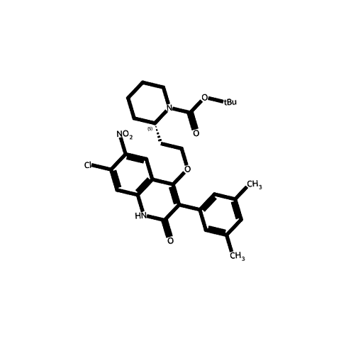 Cc1cc(C)cc(-c2c(OCC[C@@H]3CCCCN3C(=O)OC(C)(C)C)c3cc([N+](=O)[O-])c(Cl)cc3[nH]c2=O)c1